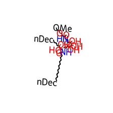 CCCCCCCCCCCCCCCCCCCCCCCC(=O)N[C@@H](CCC1OC(CNC(=O)CCOCCOC)C(O)C(O)C1O)[C@H](O)[C@H](O)CCCCCCCCCCCCCC